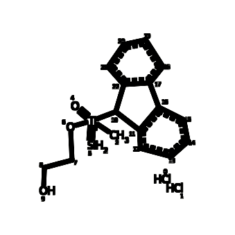 Cl.Cl.[CH3][Ti](=[O])(=[SiH2])([O]CCO)[CH]1c2ccccc2-c2ccccc21